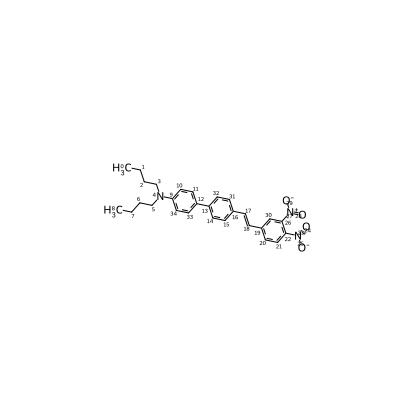 CCCCN(CCCC)c1ccc(-c2ccc(C=Cc3ccc([N+](=O)[O-])c([N+](=O)[O-])c3)cc2)cc1